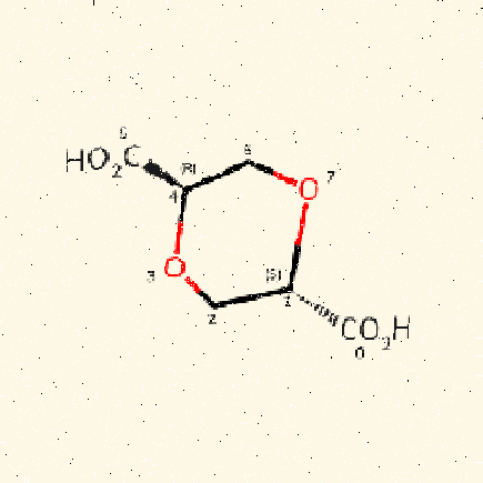 O=C(O)[C@@H]1CO[C@@H](C(=O)O)CO1